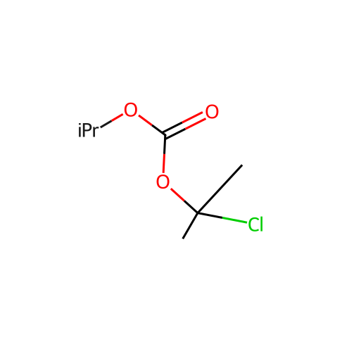 CC(C)OC(=O)OC(C)(C)Cl